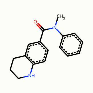 CN(C(=O)c1ccc2c(c1)CCCN2)c1ccccc1